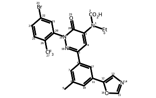 CCN(C(=O)O)c1cc(-c2cc(C)cc(-c3cnco3)c2)nn(-c2cc(Br)ccc2C(F)(F)F)c1=O